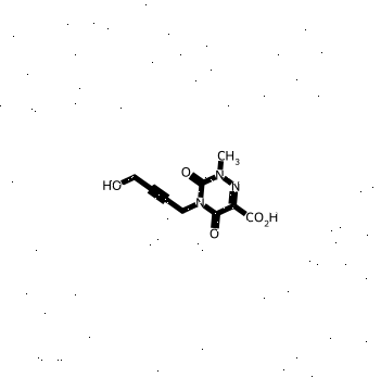 Cn1nc(C(=O)O)c(=O)n(CC#CCO)c1=O